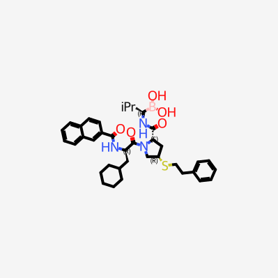 CC(C)[C@H](NC(=O)[C@@H]1C[C@@H](SCCc2ccccc2)CN1C(=O)[C@@H](CC1CCCCC1)NC(=O)c1ccc2ccccc2c1)B(O)O